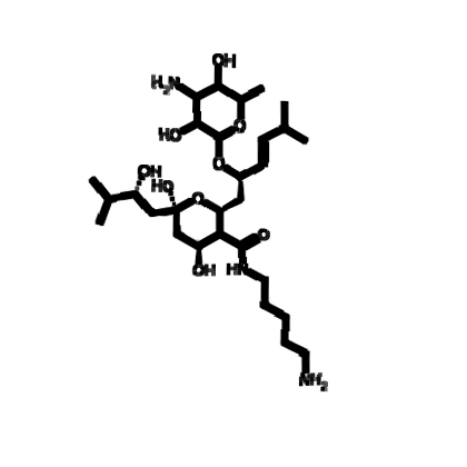 CC(C)/C=C/[C@@H](C[C@@H]1O[C@](O)(C[C@@H](O)C(C)C)C[C@H](O)C1C(=O)NCCCCCN)OC1OC(C)C(O)C(N)C1O